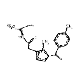 Cc1ccc(C(=O)c2ccc(CC(=O)N[C@H](C(=O)O)C(C)C)n2C)cc1